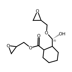 O=C(OCC1CO1)C1CCCCC1[C@@H](O)OCC1CO1